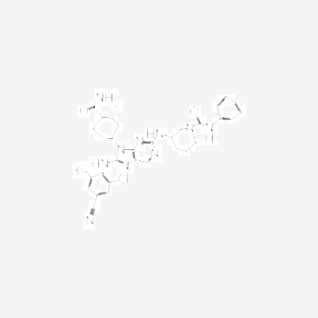 N#Cc1cc(Cl)c(Nc2nc3cnc(N[C@@H]4CCCN(C(=O)Nc5ccccc5)C4)nc3n2C2CCC(C(N)=O)CC2)c(Cl)c1